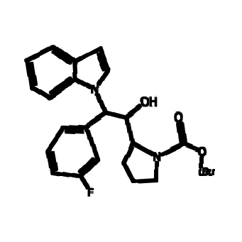 CC(C)(C)OC(=O)N1CCCC1C(O)C(c1cccc(F)c1)n1ccc2ccccc21